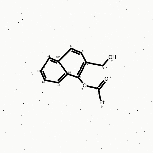 CCC(=O)Oc1c(CO)ccc2ccccc12